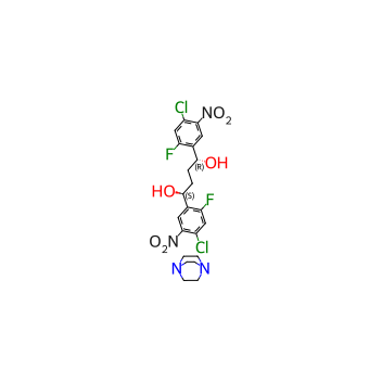 C1CN2CCN1CC2.O=[N+]([O-])c1cc([C@H](O)CC[C@H](O)c2cc([N+](=O)[O-])c(Cl)cc2F)c(F)cc1Cl